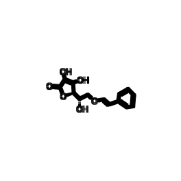 O=C1O[C@H]([C@@H](O)COC=Cc2ccccc2)C(O)=C1O